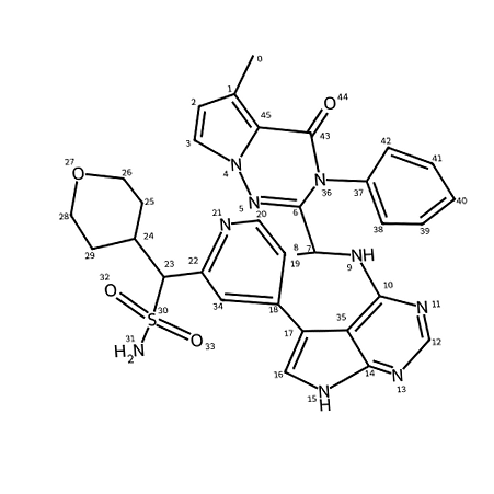 Cc1ccn2nc(C(C)Nc3ncnc4[nH]cc(-c5ccnc(C(C6CCOCC6)S(N)(=O)=O)c5)c34)n(-c3ccccc3)c(=O)c12